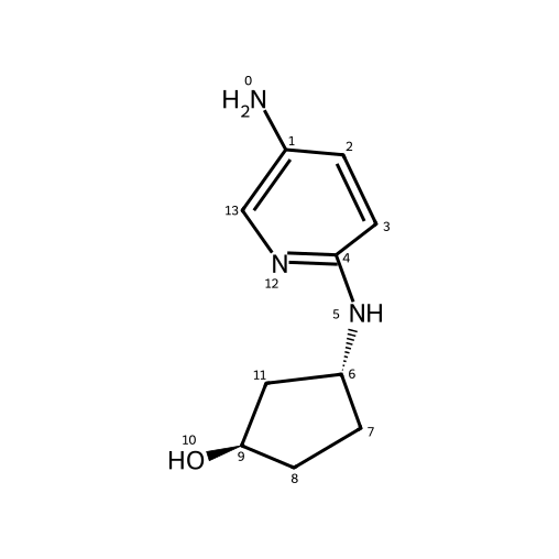 Nc1ccc(N[C@@H]2CC[C@@H](O)C2)nc1